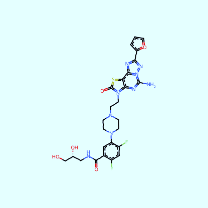 Nc1nc2c(sc(=O)n2CCN2CCN(c3cc(C(=O)NC[C@@H](O)CO)c(F)cc3F)CC2)c2nc(-c3ccco3)nn12